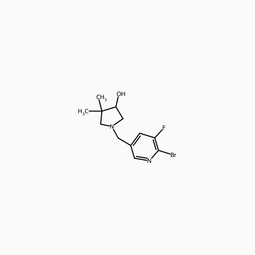 CC1(C)CN(Cc2cnc(Br)c(F)c2)CC1O